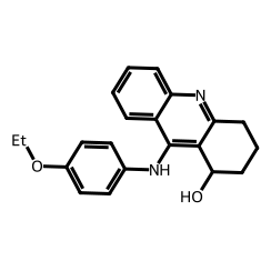 CCOc1ccc(Nc2c3c(nc4ccccc24)CCCC3O)cc1